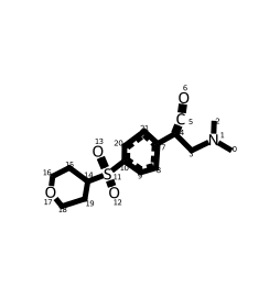 CN(C)CC(=C=O)c1ccc(S(=O)(=O)C2CCOCC2)cc1